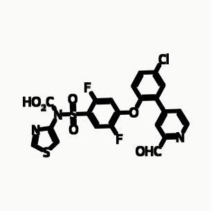 O=Cc1cc(-c2cc(Cl)ccc2Oc2cc(F)c(S(=O)(=O)N(C(=O)O)c3cscn3)cc2F)ccn1